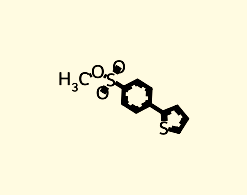 COS(=O)(=O)c1ccc(-c2cccs2)cc1